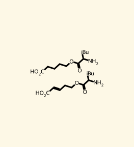 CCC(C)C(N)C(=O)OCCC=CC(=O)O.CCC(C)C(N)C(=O)OCCCCC(=O)O